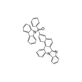 O=P(c1ccccc1)(c1ccc2c(ccc3c2c2ccccc2n2c4ccccc4nc32)c1)n1c2ccccc2c2ccccc21